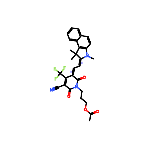 CC(=O)OCCCN1C(=O)C(C#N)=C(C(F)(F)F)/C(=C/C=C2/N(C)c3ccc4ccccc4c3C2(C)C)C1=O